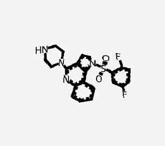 O=S(=O)(c1cc(F)ccc1F)n1ccc2c(N3CCNCC3)nc3ccccc3c21